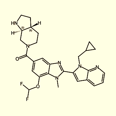 Cn1c(-c2cc3cccnc3n2CC2CC2)nc2cc(C(=O)N3CC[C@H]4CCN[C@@H]4C3)cc(OC(F)F)c21